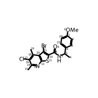 COc1ccc(C(C)NC(=O)c2sc3nc(C)c(Cl)c(C)c3c2Br)cc1